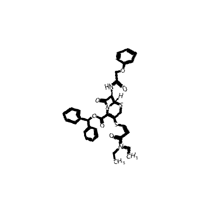 CCN(CC)C(=O)/C=C\SC1=C(C(=O)OC(c2ccccc2)c2ccccc2)N2C(=O)[C@@H](NC(=O)COc3ccccc3)[C@@H]2SC1